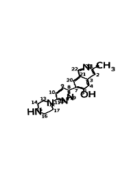 Cc1cc2cc(O)c(-c3ccc(N4CCNCC4)nn3)cc2cn1